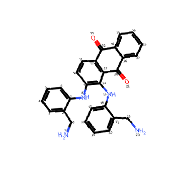 NCc1ccccc1Nc1ccc2c(c1Nc1ccccc1CN)C(=O)c1ccccc1C2=O